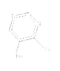 CCC(C)c1cncnc1C(C)C